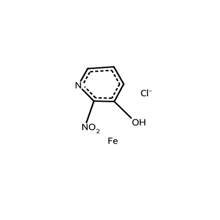 O=[N+]([O-])c1ncccc1O.[Cl-].[Fe]